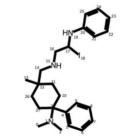 CN(C)C1(c2ccccc2)CCC(C)(CNCC(I)Nc2ccccc2)CC1